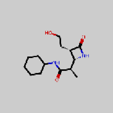 C[C@@H](C(=O)NC1CCCCC1)[C@H]1NC(=O)[C@H]1CCO